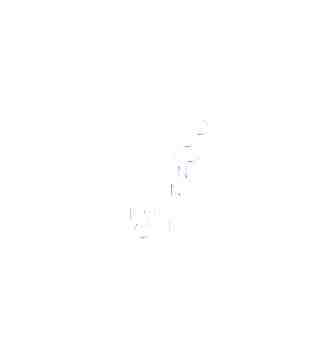 Clc1cccc(Cl)c1OCCCN1CCN(C2=COC(C3=CC=CCC3)=CO2)CC1